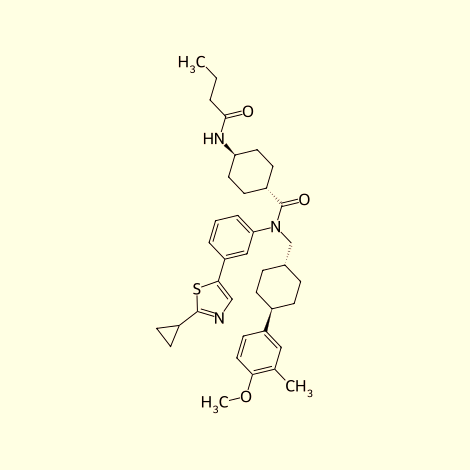 CCCC(=O)N[C@H]1CC[C@H](C(=O)N(C[C@H]2CC[C@H](c3ccc(OC)c(C)c3)CC2)c2cccc(-c3cnc(C4CC4)s3)c2)CC1